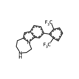 FC(F)(F)c1cccc(C(F)(F)F)c1-c1ccc2cc3n(c2c1)CCNCC3